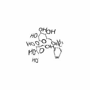 Cc1ccccc1.OC[C@H]1O[C@@](CO)(O[C@H]2O[C@H](CO)[C@@H](O)[C@H](O)[C@H]2O)[C@@H](O)[C@@H]1O